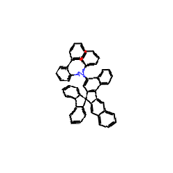 c1ccc(-c2ccccc2N(c2ccccc2)c2cc3c(c4ccccc24)-c2cc4ccccc4cc2C32c3ccccc3-c3ccccc32)cc1